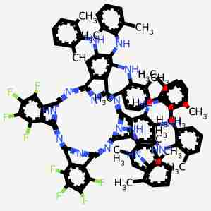 Cc1cccc(C)c1Nc1cc2c(c(Nc3c(C)cccc3C)c1Nc1c(C)cccc1C)-c1nc-2nc2[nH]c(nc3nc(nc4c5c(Nc6c(C)cccc6C)c(Nc6c(C)cccc6C)c(Nc6c(C)cccc6C)c(Nc6c(C)cccc6C)c5c(n1)n4Nc1c(C)cccc1C)-c1c(F)c(F)c(F)c(F)c1-3)c1c(F)c(F)c(F)c(F)c21